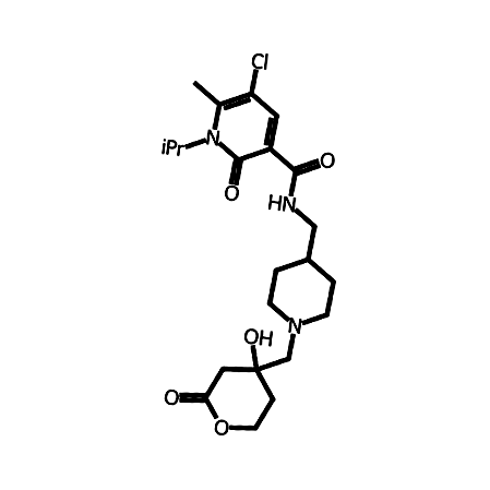 Cc1c(Cl)cc(C(=O)NCC2CCN(CC3(O)CCOC(=O)C3)CC2)c(=O)n1C(C)C